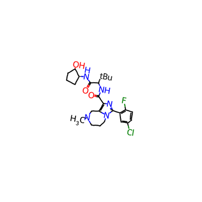 CN1CCCn2c(-c3cc(Cl)ccc3F)nc(C(=O)NC(C(=O)N[C@H]3CCC[C@@H]3O)C(C)(C)C)c2C1